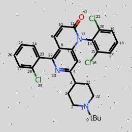 CC(C)(C)N1CCC(c2cc3c(ccc(=O)n3-c3c(Cl)cccc3Cl)c(-c3ccccc3Cl)n2)CC1